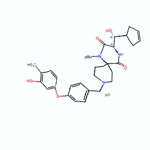 CCCCN1C(=O)[C@@H]([C@H](O)C2CC=CC2)NC(=O)C12CCN(Cc1ccc(Oc3ccc(C(=O)O)c(O)c3)cc1)CC2.Cl